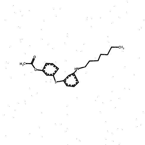 CCCCCCCNc1cccc(Sc2cccc(OC(C)=O)c2)c1